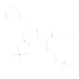 CCOC(=O)C(CCCC(F)(F)F)NC(=O)[C@@H](Cc1ccccc1)NC(=O)OC(C)(C)C